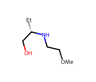 CC[C@@H](CO)NCCOC